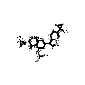 COc1cc(-c2cnn3cc(C4(C#N)CC4)ccc23)cc(OC(F)F)c1C(=O)C(=N)[C@@H]1C[C@@H]1F